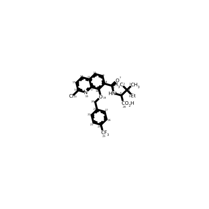 CCC(C)(C)C(NC(=O)c1ccc2ccc(Cl)nc2c1OCc1ccc(C(F)(F)F)cc1)C(=O)O